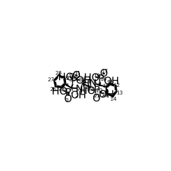 O=P(O)(O)C(NCCNC(c1ccccc1)(P(=O)(O)O)P(=O)(O)O)(c1ccccc1)P(=O)(O)O